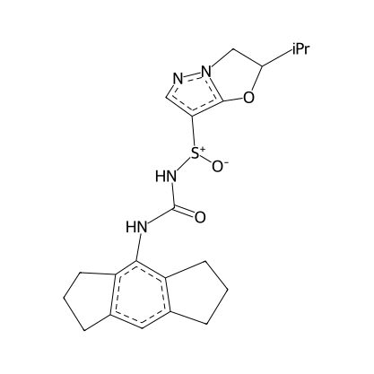 CC(C)C1Cn2ncc([S+]([O-])NC(=O)Nc3c4c(cc5c3CCC5)CCC4)c2O1